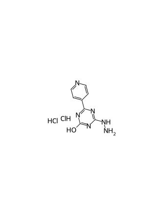 Cl.Cl.NNc1nc(O)nc(-c2ccncc2)n1